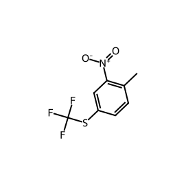 Cc1ccc(SC(F)(F)F)cc1[N+](=O)[O-]